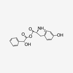 N[C@@H](Cc1ccc(O)cc1)C(=O)OC(=O)[C@H](O)c1ccccc1